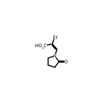 CCC(=CN1CCCC1=O)C(=O)O